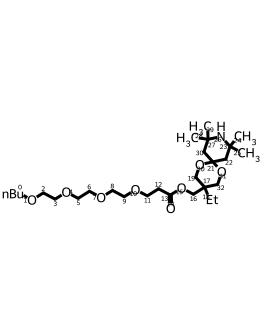 CCCCOCCOCCOCCOCCC(=O)OCC1(CC)COC2(CC(C)(C)NC(C)(C)C2)OC1